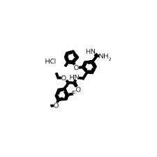 CCOC(C(=O)NCc1ccc(C(=N)N)cc1Oc1ccccc1C)c1ccc(OC)cc1F.Cl